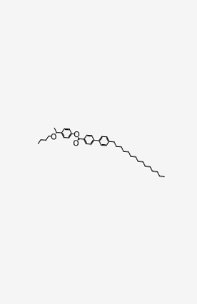 CCCCCCCCCCCCCCCc1ccc(-c2ccc(C(=O)Oc3ccc(C(C)OCCCC)cc3)cc2)cc1